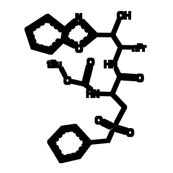 CCCC(NC(=O)C(CS(=O)(=O)Cc1ccccc1)NC(=O)OC(C)(C)C)C(O)c1nc2ccccc2o1